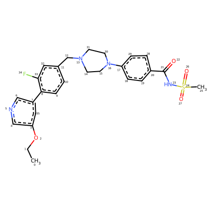 CCOc1cncc(-c2ccc(CN3CCN(c4ccc(C(=O)NS(C)(=O)=O)cc4)CC3)cc2F)c1